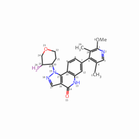 COc1ncc(C)c(-c2ccc3c(c2)[nH]c(=O)c2cnn([C@@H]4CCOCC4P)c23)c1C